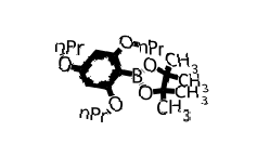 CCCOc1cc(OCCC)c(B2OC(C)(C)C(C)(C)O2)c(OCCC)c1